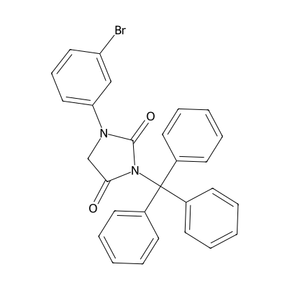 O=C1CN(c2cccc(Br)c2)C(=O)N1C(c1ccccc1)(c1ccccc1)c1ccccc1